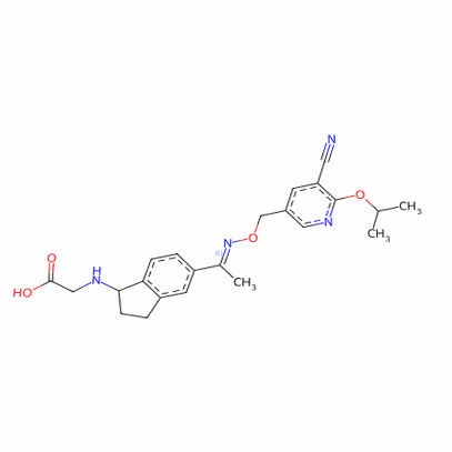 C/C(=N\OCc1cnc(OC(C)C)c(C#N)c1)c1ccc2c(c1)CCC2NCC(=O)O